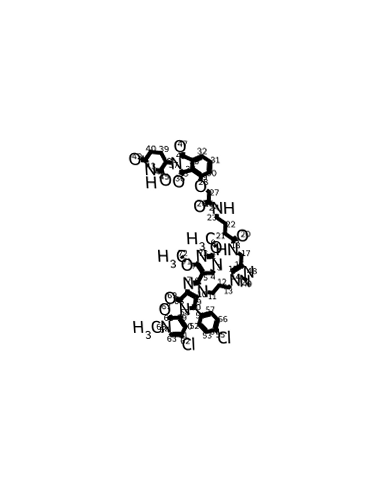 COc1ncc(-c2nc3c(n2CCCn2cc(CNC(=O)CCCNC(=O)COc4cccc5c4C(=O)N(C4CCC(=O)NC4=O)C5=O)nn2)[C@@H](c2ccc(Cl)cc2)N(c2cc(Cl)cn(C)c2=O)C3=O)c(OC)n1